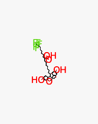 CCC1(c2ccc(O)cc2)COc2cc(O)ccc2C1CCCCCCCCC(CCCCCCC(F)(F)C(F)(F)F)C(=O)O